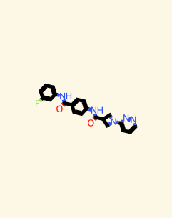 O=C(Nc1cccc(F)c1)c1ccc(NC(=O)C2CN(c3cccnn3)C2)cc1